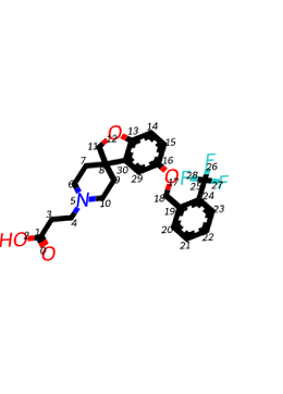 O=C(O)CCN1CCC2(CC1)COc1ccc(OCc3ccccc3C(F)(F)F)cc12